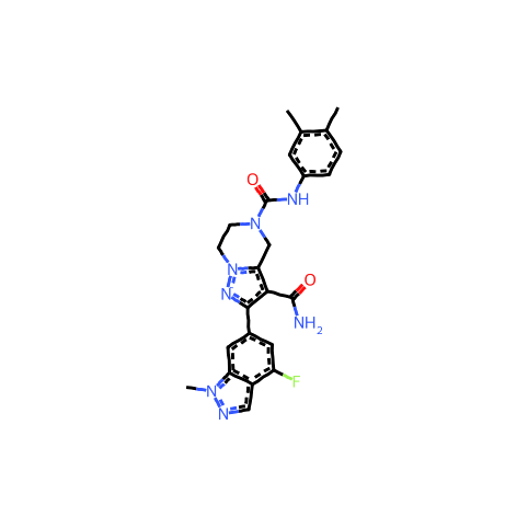 Cc1ccc(NC(=O)N2CCn3nc(-c4cc(F)c5cnn(C)c5c4)c(C(N)=O)c3C2)cc1C